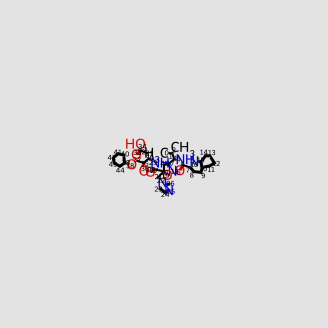 CC(C)[C@H](NC(=O)c1ccc2ccccc2n1)C1=NOC(Cn2ccnc2)(C(=O)N[C@@H](CC(=O)O)C(=O)COc2ccccc2)C1